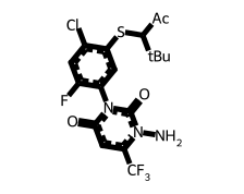 CC(=O)C(Sc1cc(-n2c(=O)cc(C(F)(F)F)n(N)c2=O)c(F)cc1Cl)C(C)(C)C